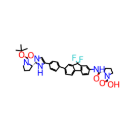 CC(C)(C)OC(=O)N1CCC[C@H]1c1ncc(-c2ccc(-c3ccc4c(c3)C(F)(F)c3cc(NC(=O)[C@@H]5CCCN5C(=O)O)ccc3-4)cc2)[nH]1